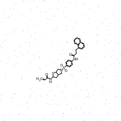 C=CC(=O)NC1CC2CN(S(=O)(=O)c3ccc(NC(=O)CCc4cccc5ccccc45)cc3)CC2S1